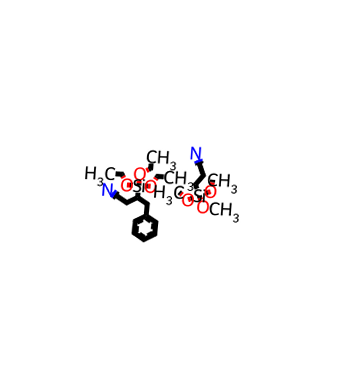 CCO[Si](OCC)(OCC)C(CC#N)Cc1ccccc1.CO[Si](CCC#N)(OC)OC